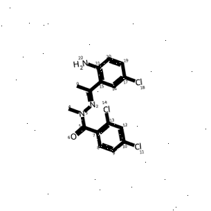 C/C(=N\N(C)C(=O)c1ccc(Cl)cc1Cl)c1cc(Cl)ccc1N